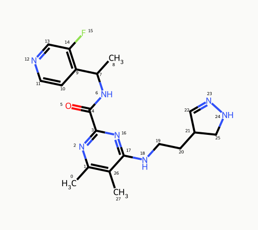 Cc1nc(C(=O)NC(C)c2ccncc2F)nc(NCCC2C=NNC2)c1C